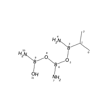 CC(C)B(N)OB(N)OB(N)O